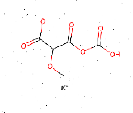 COC(C(=O)[O-])C(=O)OC(=O)O.[K+]